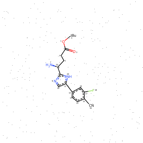 CC(C)(C)OC(=O)CC[C@H](N)c1ncc(-c2ccc(C#N)c(F)c2)[nH]1